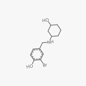 Oc1ccc(CNC2CCCC(O)C2)cc1Br